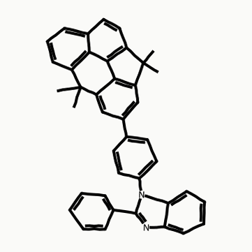 CC1(C)c2cc(-c3ccc(-n4c(-c5ccccc5)nc5ccccc54)cc3)cc3c2-c2c1ccc1cccc(c21)C3(C)C